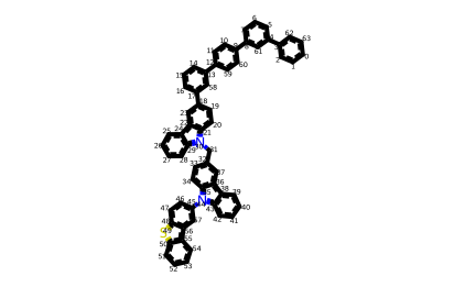 c1ccc(-c2cccc(-c3ccc(-c4cccc(-c5ccc6c(c5)c5ccccc5n6Cc5ccc6c(c5)c5ccccc5n6-c5ccc6sc7ccccc7c6c5)c4)cc3)c2)cc1